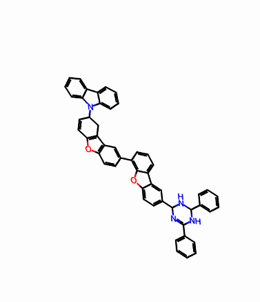 C1=CC(n2c3ccccc3c3ccccc32)Cc2c1oc1ccc(-c3cccc4c3oc3ccc(C5N=C(c6ccccc6)NC(c6ccccc6)N5)cc34)cc21